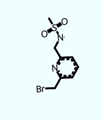 CS(=O)(=O)[N]Cc1cccc(CBr)n1